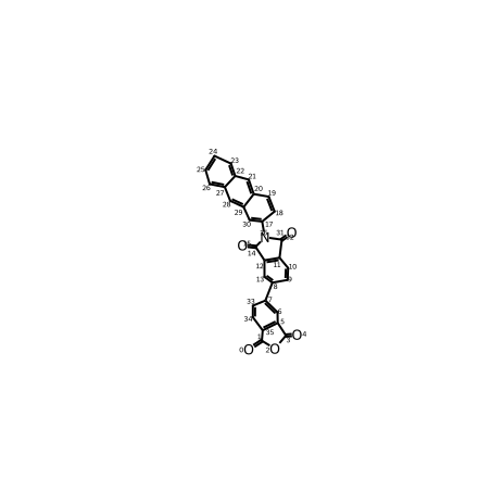 O=C1OC(=O)c2cc(-c3ccc4c(c3)C(=O)N(c3ccc5cc6ccccc6cc5c3)C4=O)ccc21